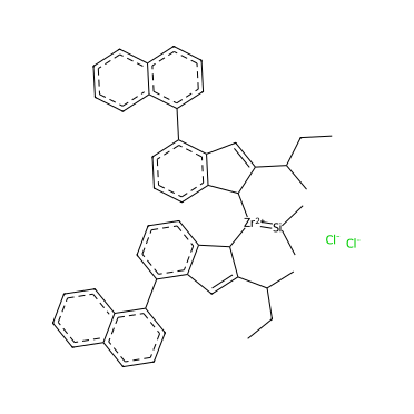 CCC(C)C1=Cc2c(-c3cccc4ccccc34)cccc2[CH]1[Zr+2]([CH]1C(C(C)CC)=Cc2c(-c3cccc4ccccc34)cccc21)=[Si](C)C.[Cl-].[Cl-]